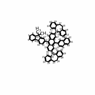 CC1(C)c2ccccc2-c2ccc(-c3c4ccc(N5c6ccccc6CCc6ccccc65)cc4c(-c4ccc5ccccc5c4)c4cc(N5c6ccccc6CCc6ccccc65)ccc34)cc21